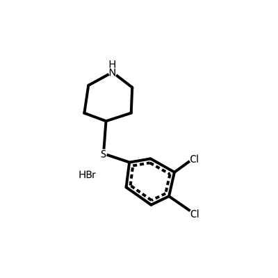 Br.Clc1ccc(SC2CCNCC2)cc1Cl